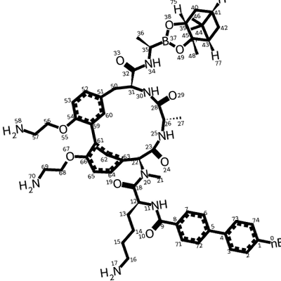 CCCCc1ccc(-c2ccc(C(=O)N[C@@H](CCCCN)C(=O)N(C)[C@@H]3C(=O)N[C@@H](C)C(=O)N[C@H](C(=O)N[C@@H](C)B4O[C@@H]5C[C@@H]6C[C@@H](C6(C)C)[C@]5(C)O4)Cc4ccc(OCCN)c(c4)-c4cc3ccc4OCCN)cc2)cc1